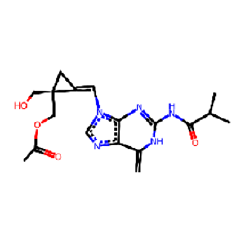 C=C1NC(NC(=O)C(C)C)=Nc2c1ncn2/C=C1/C[C@@]1(CO)COC(C)=O